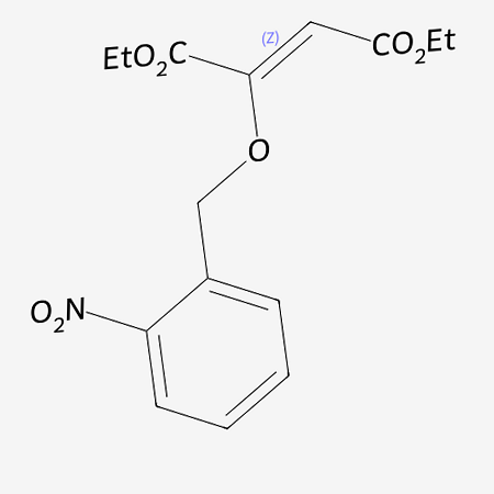 CCOC(=O)/C=C(\OCc1ccccc1[N+](=O)[O-])C(=O)OCC